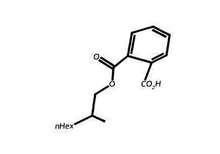 CCCCCCC(C)COC(=O)c1ccccc1C(=O)O